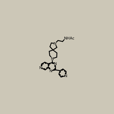 CC(=O)NCCN1CCC2(CCN(c3nc(-c4ccncc4)nc4cnccc34)CC2)C1